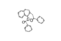 O=C(Cc1ccc2ccccc2c1OC(=O)c1ccccc1)c1ccccc1